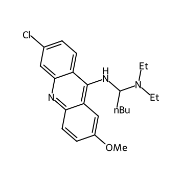 CCCCC(Nc1c2ccc(Cl)cc2nc2ccc(OC)cc12)N(CC)CC